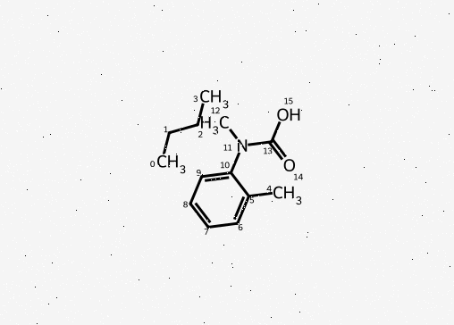 CCCC.Cc1ccccc1N(C)C(=O)O